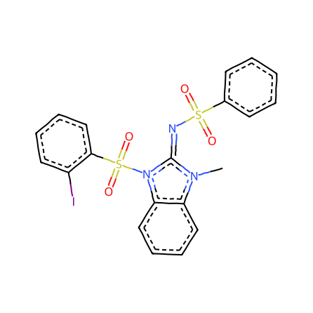 Cn1c(=NS(=O)(=O)c2ccccc2)n(S(=O)(=O)c2ccccc2I)c2ccccc21